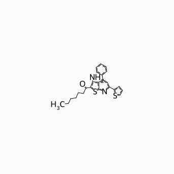 CCCCCCC(=O)c1sc2nc(-c3cccs3)cc(-c3ccccc3)c2c1N